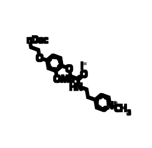 CCCCCCCCCCCCOc1ccc(OCC(=O)NCCc2cc[n+](C)cc2)c(OC)c1.[I-]